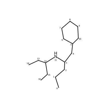 CCCC(CC1CCCCC1)NC(CC)CC